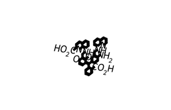 Nc1ccc2c(-c3ccccc3C(=O)O)c3ccc(=O)c(CNc4cccc5ccc(C(=O)O)nc45)c-3oc2c1CNc1cccc2cccnc12